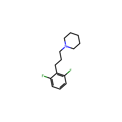 Fc1cccc(F)c1CCCN1CCCCC1